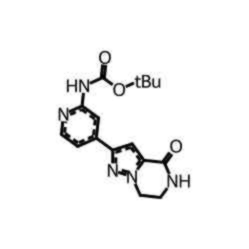 CC(C)(C)OC(=O)Nc1cc(-c2cc3n(n2)CCNC3=O)ccn1